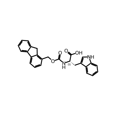 O=C(N[C@@H](Cc1c[nH]c2ccccc12)C(=O)O)OCc1cccc2c1Cc1ccccc1-2